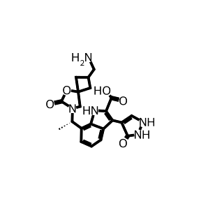 C[C@@H](c1cccc2c(-c3c[nH][nH]c3=O)c(C(=O)O)[nH]c12)N1CC2(CC(CN)C2)OC1=O